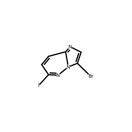 Brc1cnc2ccc(I)nn12